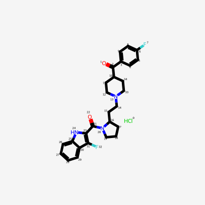 Cl.O=C(c1ccc(F)cc1)C1CCN(CCC2CCCN2C(=O)c2[nH]c3ccccc3c2F)CC1